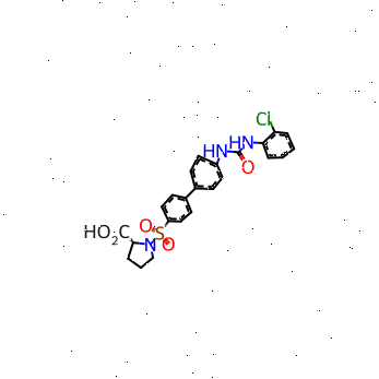 O=C(Nc1ccc(-c2ccc(S(=O)(=O)N3CCC[C@H]3C(=O)O)cc2)cc1)Nc1ccccc1Cl